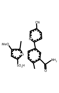 COc1cc(S(=O)(=O)O)sc1C.Cc1ccc(-c2ccc(C#N)cn2)cc1C(N)=O